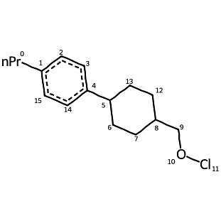 CCCc1ccc(C2CCC(COCl)CC2)cc1